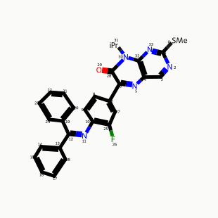 CSc1ncc2nc(-c3ccc(N=C(c4ccccc4)c4ccccc4)c(F)c3)c(=O)n(C(C)C)c2n1